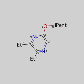 CCCC(C)Oc1cnc(CC)c(CC)n1